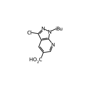 CCC(C)n1nc(Cl)c2cc(C(=O)O)cnc21